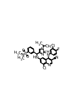 CC(C)n1cc(C(Nc2cc(Cl)c3ncc(C#N)c(Nc4ccc(F)c(Cl)c4)c3c2)c2cccc(S(=O)(=O)N(C)C)c2)nn1